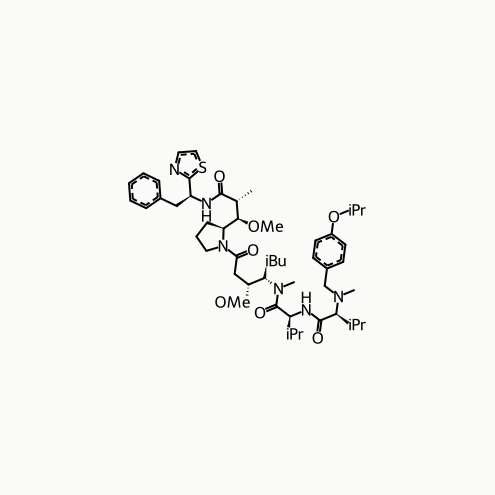 CC[C@H](C)[C@@H]([C@@H](CC(=O)N1CCC[C@H]1[C@H](OC)[C@@H](C)C(=O)N[C@@H](Cc1ccccc1)c1nccs1)OC)N(C)C(=O)[C@@H](NC(=O)[C@H](C(C)C)N(C)Cc1ccc(OC(C)C)cc1)C(C)C